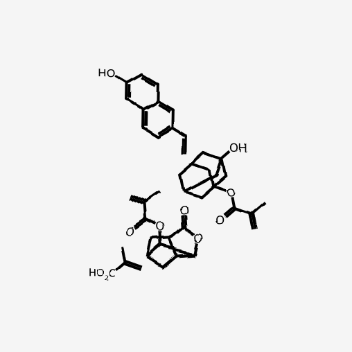 C=C(C)C(=O)O.C=C(C)C(=O)OC12CC3CC(CC(O)(C3)C1)C2.C=C(C)C(=O)OC1C2CC3C(=O)OC1C3C2.C=Cc1ccc2cc(O)ccc2c1